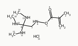 C=C(C)C(=O)ONCC(NC)(NC)NC.Cl